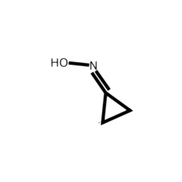 O/N=C1\[CH]C1